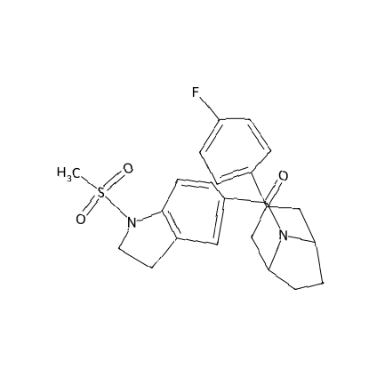 CS(=O)(=O)N1CCc2cc(C(=O)N3C4CCC3CC(c3ccc(F)cc3)C4)ccc21